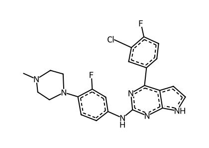 CN1CCN(c2ccc(Nc3nc(-c4ccc(F)c(Cl)c4)c4cc[nH]c4n3)cc2F)CC1